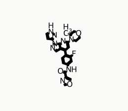 C[C@@H]1COCCN1c1cc(-c2ccc(NC(=O)c3cocn3)cc2F)c2cnn(-c3cc[nH]n3)c2n1